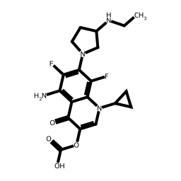 CCNC1CCN(c2c(F)c(N)c3c(=O)c(OC(=O)O)cn(C4CC4)c3c2F)C1